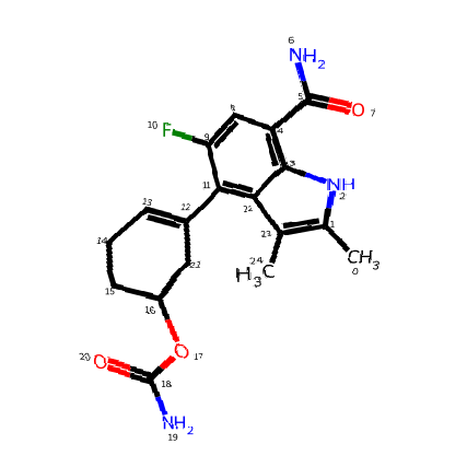 Cc1[nH]c2c(C(N)=O)cc(F)c(C3=CCCC(OC(N)=O)C3)c2c1C